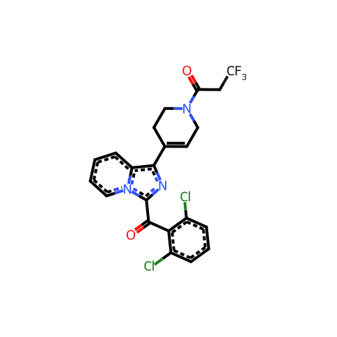 O=C(c1c(Cl)cccc1Cl)c1nc(C2=CCN(C(=O)CC(F)(F)F)CC2)c2ccccn12